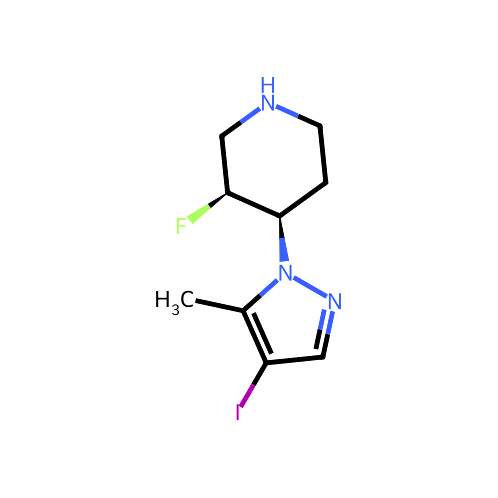 Cc1c(I)cnn1[C@@H]1CCNC[C@@H]1F